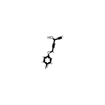 C#CC(O)C#CCOc1ccc(F)cc1